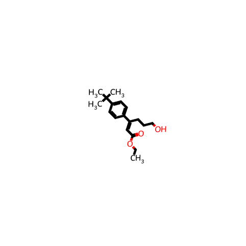 CCOC(=O)/C=C(\CCCO)c1ccc(C(C)(C)C)cc1